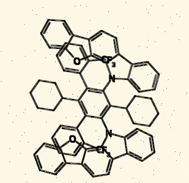 FC(F)(F)c1ccccc1-c1c(C2CCCCC2)c(-c2ccccc2C(F)(F)F)c(-n2c3ccccc3c3ccc4c5ccccc5oc4c32)c(C2CCCCC2)c1-n1c2ccccc2c2ccc3c4ccccc4oc3c21